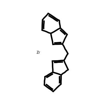 C1=CC2=CC(CC3=Cc4ccccc4C3)=CC2C=C1.[Zr]